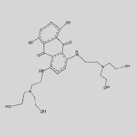 O=C1c2c(O)ccc(O)c2C(=O)c2c(NCCN(CCO)CCO)ccc(NCCN(CCO)CCO)c21